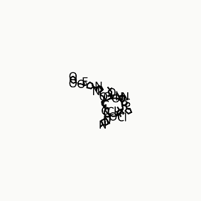 Cc1c(Cl)c2c(Cl)c(C)c1-c1c(C3=CCCC3)sc3ncnc(c13)O[C@@H](C(=O)OC(C)(C)C)Cc1cc(ccc1OCc1ccnc(C3=CC[C@@](F)(COC[C@@H]4COCCO4)CC3)n1)OC[C@@H](CN1CCN(C)CC1)O2